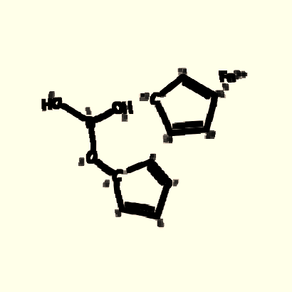 OB(O)O[c-]1cccc1.[Fe+2].c1cc[cH-]c1